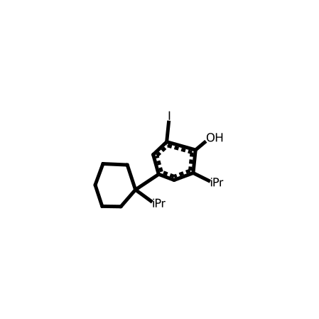 CC(C)c1cc(C2(C(C)C)CCCCC2)cc(I)c1O